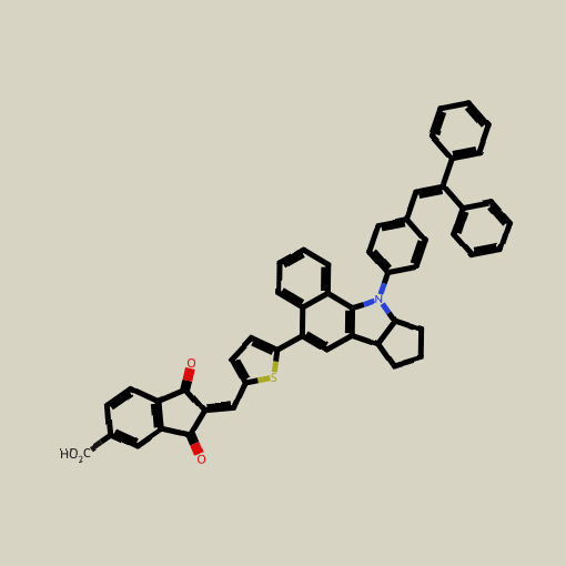 O=C(O)c1ccc2c(c1)C(=O)/C(=C/c1ccc(-c3cc4c(c5ccccc35)N(c3ccc(C=C(c5ccccc5)c5ccccc5)cc3)C3CCCC43)s1)C2=O